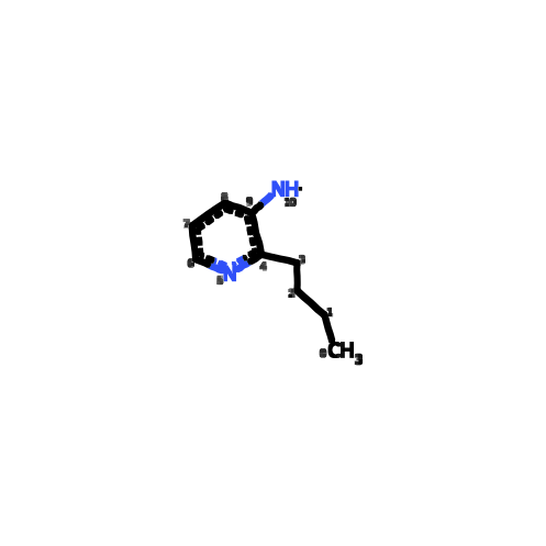 CCCCc1ncccc1[NH]